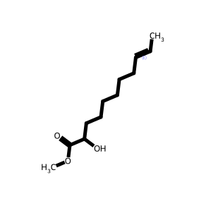 C/C=C/CCCCCCC(O)C(=O)OC